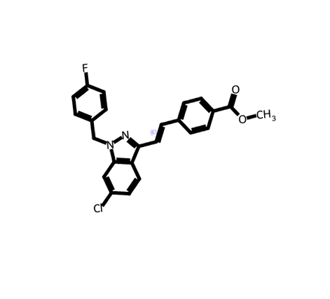 COC(=O)c1ccc(/C=C/c2nn(Cc3ccc(F)cc3)c3cc(Cl)ccc23)cc1